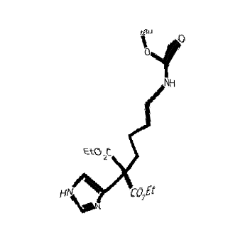 CCOC(=O)C(CCCCNC(=O)OC(C)(C)C)(C(=O)OCC)c1c[nH]cn1